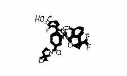 O=C(O)c1ccc(-c2nn(C(=O)c3c(Cl)cccc3C3(C(F)F)CC3)c3c2CCC(C(=O)N2CCC4(COC4)C2)C3)c(F)c1